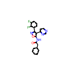 O=C(Cc1ccccc1)Nc1onc(-c2cccc(F)c2F)c1-c1ccncn1